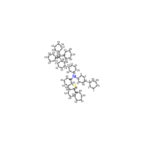 c1ccc(-c2ccc(N(c3cccc(-c4cccc([Si](c5ccccc5)(c5ccccc5)c5ccccc5)c4)c3)c3cccc4c3sc3c5ccccc5ccc43)cc2)cc1